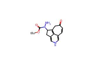 CC(C)(C)OC(=O)N(N)C1CC2=CNC=C3C=CC(=O)CC1=C32